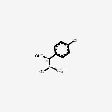 CC(C)(C)N(C(=O)O)[C@@H](C=O)c1ccc(Cl)cc1